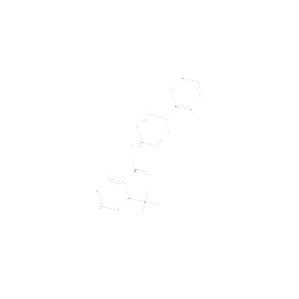 O=C(/N=c1\ccn(-c2ccccc2)nc1)c1ccccc1C(F)(F)F